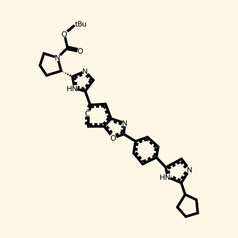 CC(C)(C)OC(=O)N1CCC[C@H]1c1ncc(-c2ccc3oc(-c4ccc(-c5cnc(C6CCCC6)[nH]5)cc4)nc3c2)[nH]1